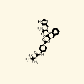 CC(C)(C)OC(=O)NC1CCN(C(=O)O[C@@H](Cc2ccccc2)C(=O)N[C@@H](Cc2c[nH]cn2)C(N)=O)CC1